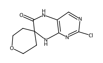 O=C1Nc2cnc(Cl)nc2NC12CCOCC2